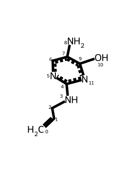 C=CCNc1ncc(N)c(O)n1